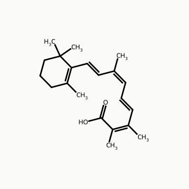 CC(C=C/C=C(/C)C=CC1=C(C)CCCC1(C)C)=C(C)C(=O)O